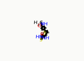 CNC(=O)c1ccc(-c2ccc(C=C3NC(=S)NC3=O)s2)cc1